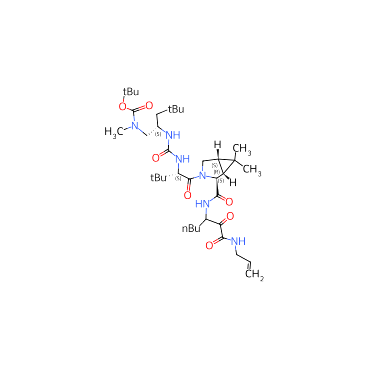 C=CCNC(=O)C(=O)C(CCCC)NC(=O)[C@@H]1[C@@H]2[C@H](CN1C(=O)[C@@H](NC(=O)N[C@H](CN(C)C(=O)OC(C)(C)C)CC(C)(C)C)C(C)(C)C)C2(C)C